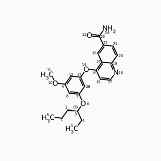 CCC[C@H](CC)Oc1cc(OC)cc(Oc2ccnc3ccc(C(N)=O)cc23)c1